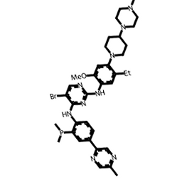 CCc1cc(Nc2ncc(Br)c(Nc3ccc(-c4cnc(C)cn4)cc3P(C)C)n2)c(OC)cc1N1CCC(N2CCN(C)CC2)CC1